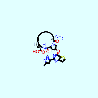 Cc1cc(-c2nc(O[C@@H]3C[C@H]4C(=O)N[C@]5(C(=O)O)C[C@H]5C=CCCCCC[C@H](N)C(=O)N4C3)c3sccc3n2)n(C)n1